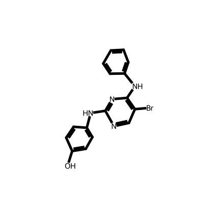 Oc1ccc(Nc2ncc(Br)c(Nc3ccccc3)n2)cc1